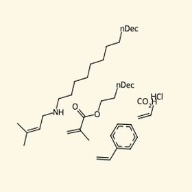 C=C(C)C(=O)OCCCCCCCCCCCC.C=CC(=O)O.C=Cc1ccccc1.CCCCCCCCCCCCCCCCCCNCC=C(C)C.Cl